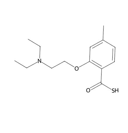 CCN(CC)CCOc1cc(C)ccc1C(=O)S